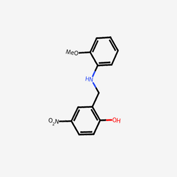 COc1ccccc1NCc1cc([N+](=O)[O-])ccc1O